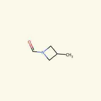 CC1CN(C=O)C1